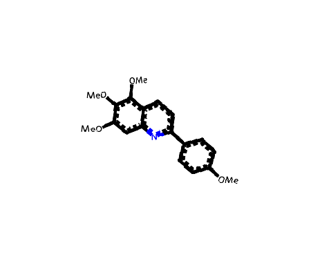 COc1ccc(-c2ccc3c(OC)c(OC)c(OC)cc3n2)cc1